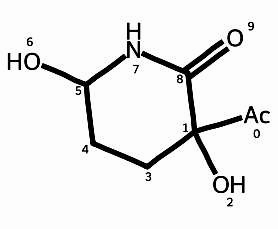 CC(=O)C1(O)CCC(O)NC1=O